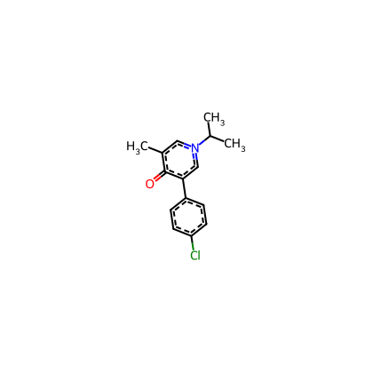 Cc1cn(C(C)C)cc(-c2ccc(Cl)cc2)c1=O